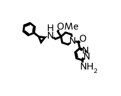 COCC1(CN[C@@H]2CC2c2ccccc2)CCN(C(=O)c2ccc(N)nn2)CC1